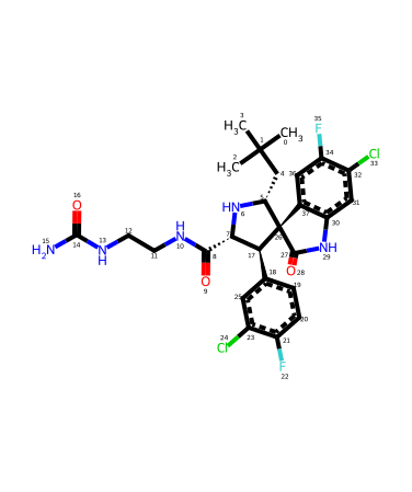 CC(C)(C)C[C@H]1N[C@@H](C(=O)NCCNC(N)=O)[C@H](c2ccc(F)c(Cl)c2)[C@@]12C(=O)Nc1cc(Cl)c(F)cc12